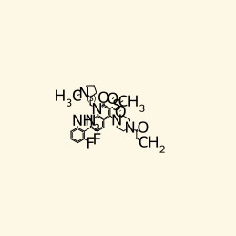 C=CC(=O)N1CCN(c2c(S(C)(=O)=O)c(=O)n(C[C@@H]3CCCN3C)c3nc(-c4c(N)cccc4F)c(F)cc23)CC1